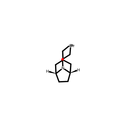 CC(C)CCN1[C@@H]2CC[C@H]1CC(CC(C)C)C2